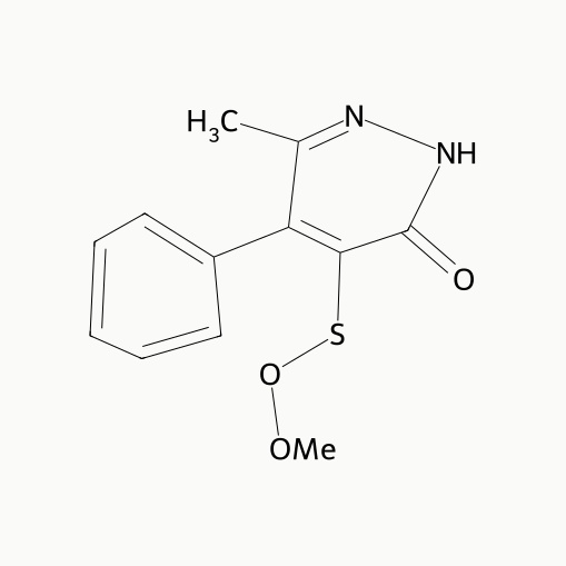 COOSc1c(-c2ccccc2)c(C)n[nH]c1=O